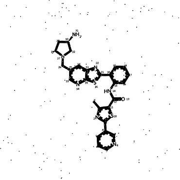 Cc1nc(-c2cccnc2)sc1C(=O)Nc1ccccc1-c1nc2cc(CN3CC[C@@H](N)C3)cnc2s1